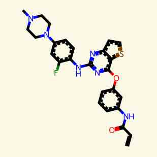 C=CC(=O)Nc1cccc(Oc2nc(Nc3ccc(N4CCN(C)CC4)cc3F)nc3ccsc23)c1